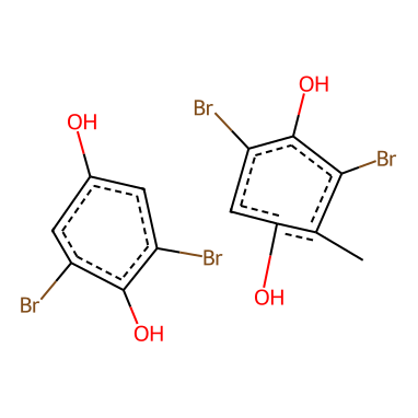 Cc1c(O)cc(Br)c(O)c1Br.Oc1cc(Br)c(O)c(Br)c1